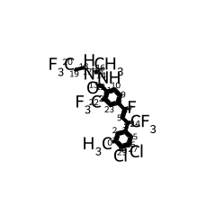 Cc1cc(C(/C=C(\F)c2ccc(C(=O)NC(C)NCCC(F)(F)F)c(C(F)(F)F)c2)C(F)(F)F)cc(Cl)c1Cl